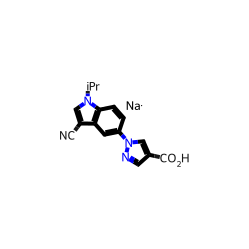 CC(C)n1cc(C#N)c2cc(-n3cc(C(=O)O)cn3)ccc21.[Na]